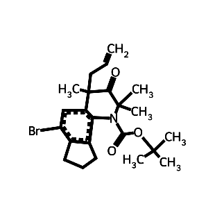 C=CCC1(C)C(=O)C(C)(C)N(C(=O)OC(C)(C)C)c2c1cc(Br)c1c2CCC1